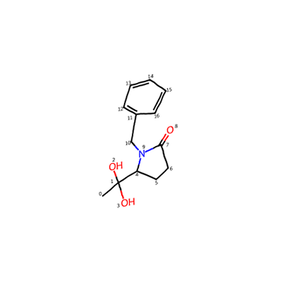 CC(O)(O)C1CCC(=O)N1Cc1ccccc1